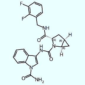 NC(=O)n1cc(NC(=O)N2[C@@H]3C[C@@H]3C[C@H]2C(=O)NCc2cccc(F)c2F)c2ccccc21